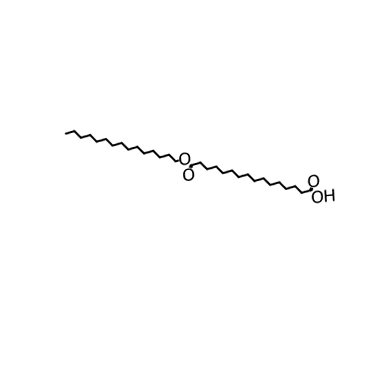 CCCCCCCCCCCCCCCOC(=O)CCCCCCCCCCCCCCC(=O)O